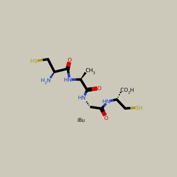 CC[C@H](C)[C@H](NC(=O)[C@H](C)NC(=O)[C@@H](N)CS)C(=O)N[C@@H](CS)C(=O)O